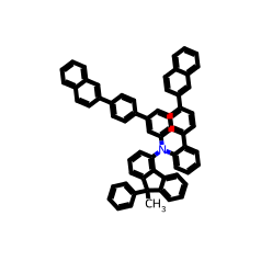 CC1(c2ccccc2)c2ccccc2-c2c(N(c3cccc(-c4ccc(-c5ccc6ccccc6c5)cc4)c3)c3ccccc3-c3ccc(-c4ccc5ccccc5c4)cc3)cccc21